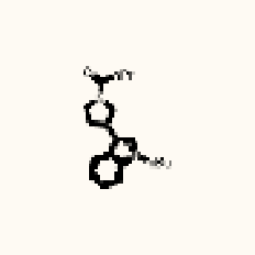 CCCCn1cc(C2CCN(C(=O)CCC)C2)c2ccccc21